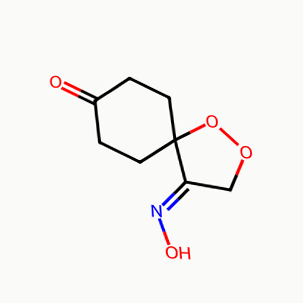 O=C1CCC2(CC1)OOCC2=NO